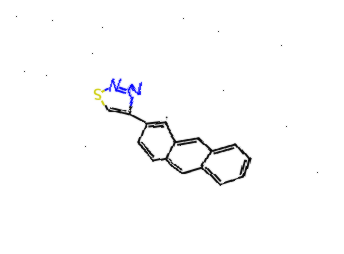 [c]1c(-c2csnn2)ccc2cc3ccccc3cc12